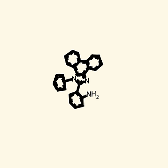 Nc1ccccc1-c1nc2c3ccccc3c3ccccc3c2n1-c1ccccc1